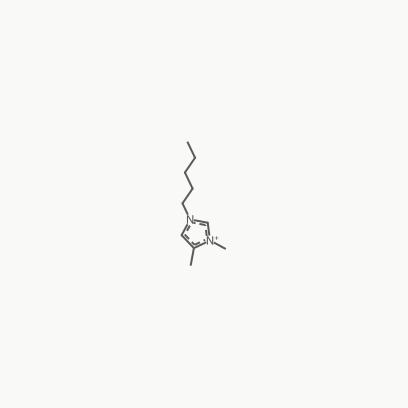 CCCCCn1cc(C)[n+](C)c1